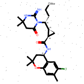 COCC[C@H]([C@@H]1C[C@H]1C(=O)N[C@@H]1CC(C)(C)Oc2cc(C)c(Cl)cc21)N1C(=N)NC(C)(C)CC1=O